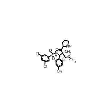 COC(=O)[C@](C)(C(=O)C1CCCN1)[C@H](NS(=O)(=O)c1cc(Cl)cc(Cl)c1)c1ccc(O)cc1